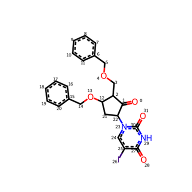 O=C1C(COCc2ccccc2)C(OCc2ccccc2)CC1n1cc(I)c(=O)[nH]c1=O